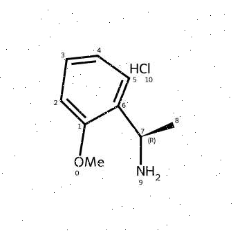 COc1ccccc1[C@@H](C)N.Cl